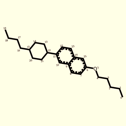 CCCCCOc1ccc2cc(C3CCC(CCCC)CC3)ccc2c1